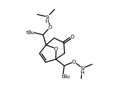 C[SiH](C)OC(C(C)(C)C)C12C=CC(C(O[SiH](C)C)C(C)(C)C)(CC(=O)C1)O2